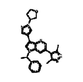 Cc1noc(C)c1-c1cnc2c(-c3cnn(C4CCOC4)c3)cn(C(C)c3ccccc3)c2c1